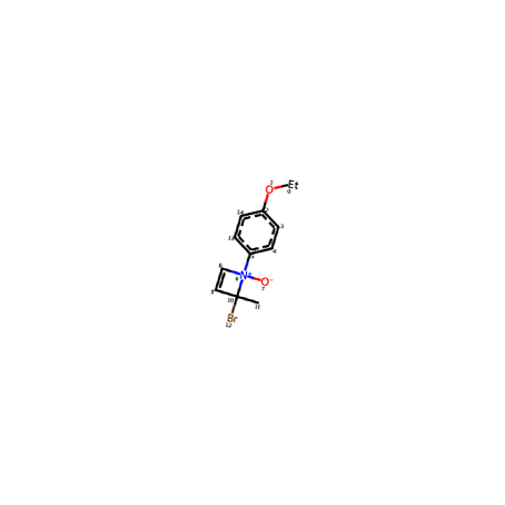 CCOc1ccc([N+]2([O-])C=CC2(C)Br)cc1